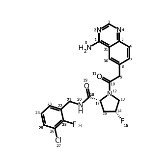 Nc1ncnc2ccc(CC(=O)N3C[C@H](F)C[C@@H]3C(=O)NCc3cccc(Cl)c3F)cc12